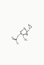 O=C(Cl)c1cnc(C2CC2)nc1C(F)(F)F